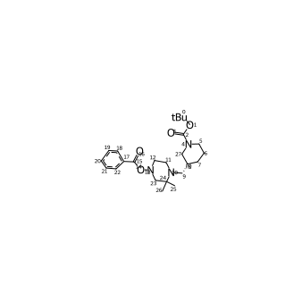 CC(C)(C)OC(=O)N1CCC[C@H](CN2CCN(OC(=O)c3ccccc3)CC2(C)C)C1